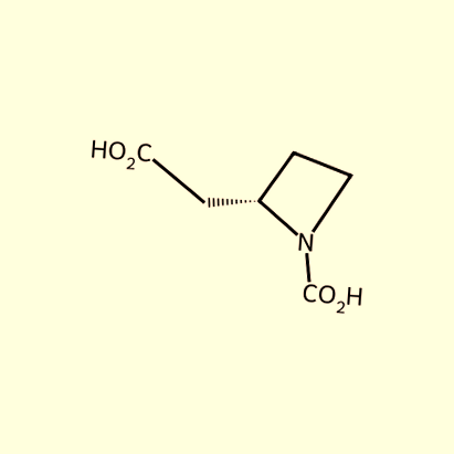 O=C(O)C[C@@H]1CCN1C(=O)O